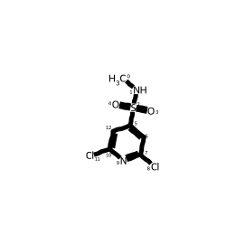 CNS(=O)(=O)c1cc(Cl)nc(Cl)c1